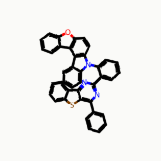 c1ccc(-c2nc(-c3ccccc3-n3c4ccccc4c4c5c(ccc43)oc3ccccc35)nc3c2sc2ccccc23)cc1